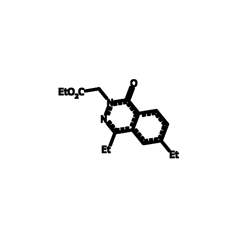 CCOC(=O)Cn1nc(CC)c2cc(CC)ccc2c1=O